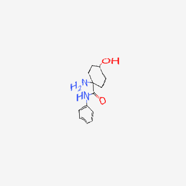 NC1(C(=O)Nc2ccccc2)CCC(O)CC1